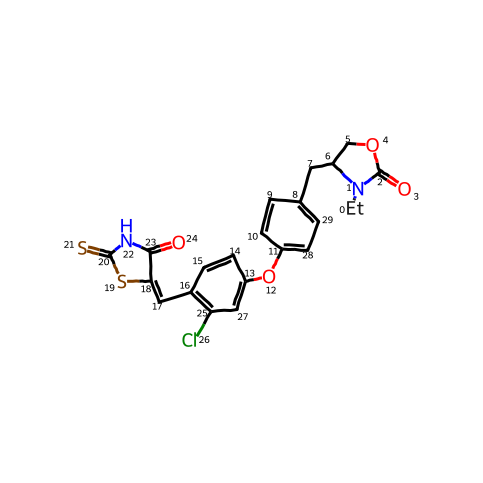 CCN1C(=O)OCC1Cc1ccc(Oc2ccc(C=C3SC(=S)NC3=O)c(Cl)c2)cc1